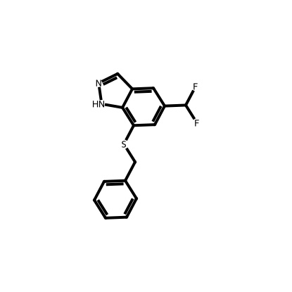 FC(F)c1cc(SCc2ccccc2)c2[nH]ncc2c1